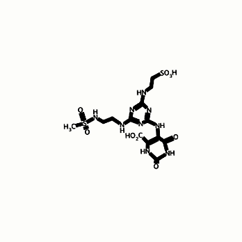 CS(=O)(=O)NCCNc1nc(NCCS(=O)(=O)O)nc(Nc2c(C(=O)O)[nH]c(=O)[nH]c2=O)n1